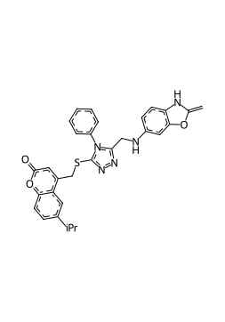 C=C1Nc2ccc(NCc3nnc(SCc4cc(=O)oc5ccc(C(C)C)cc45)n3-c3ccccc3)cc2O1